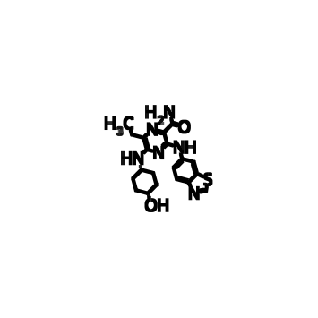 CCc1nc(C(N)=O)c(Nc2ccc3ncsc3c2)nc1N[C@H]1CC[C@H](O)CC1